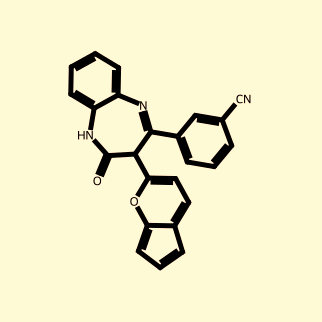 N#Cc1cccc(C2=Nc3ccccc3NC(=O)C2c2ccc3cccc-3o2)c1